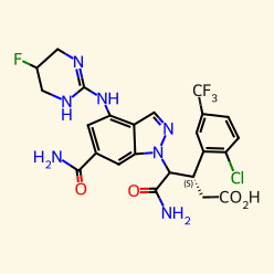 NC(=O)c1cc(NC2=NCC(F)CN2)c2cnn(C(C(N)=O)[C@@H](CC(=O)O)c3cc(C(F)(F)F)ccc3Cl)c2c1